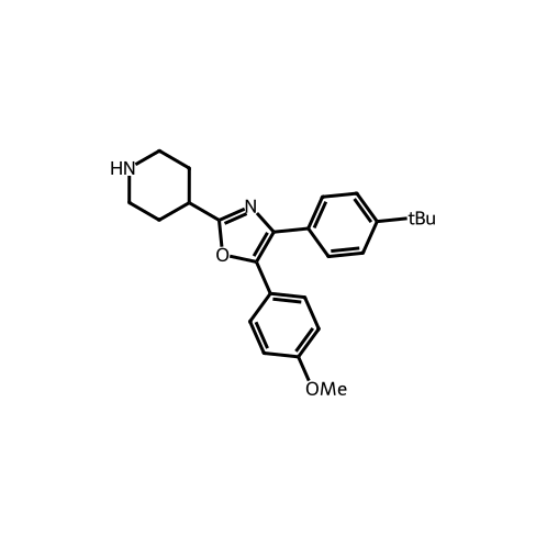 COc1ccc(-c2oc(C3CCNCC3)nc2-c2ccc(C(C)(C)C)cc2)cc1